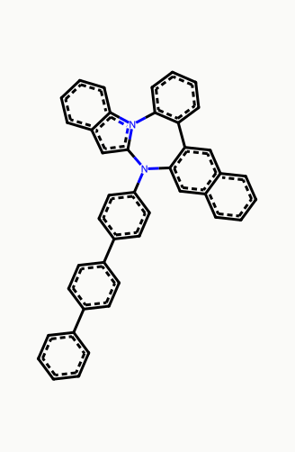 c1ccc(-c2ccc(-c3ccc(N4c5cc6ccccc6cc5-c5ccccc5-n5c4cc4ccccc45)cc3)cc2)cc1